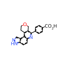 O=C(O)c1ccc(-c2nc3ccc4[nH]ncc4c3c3c2COCC3)cc1